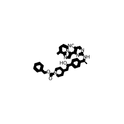 Cc1cccn2c(-c3nc(N[C@@H](C)c4ccc(C(O)CC5CCN(C(=O)OCc6ccccc6)CC5)cc4)ncc3C#N)cnc12